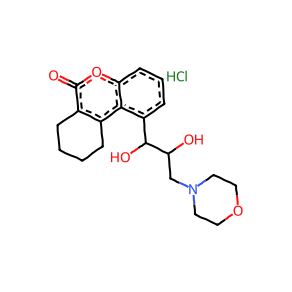 Cl.O=c1oc2cccc(C(O)C(O)CN3CCOCC3)c2c2c1CCCC2